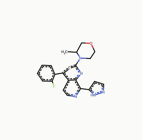 CC1COCCN1c1cc(-c2ccccc2F)c2ccnc(-c3ccn[nH]3)c2n1